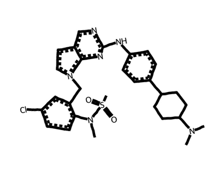 CN(C)C1CCC(c2ccc(Nc3ncc4ccn(Cc5cc(Cl)ccc5N(C)S(C)(=O)=O)c4n3)cc2)CC1